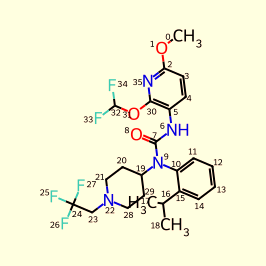 COc1ccc(NC(=O)N(c2ccccc2C(C)C)C2CCN(CC(F)(F)F)CC2)c(OC(F)F)n1